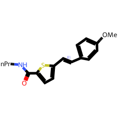 CCCNC(=O)c1ccc(/C=C/c2ccc(OC)cc2)s1